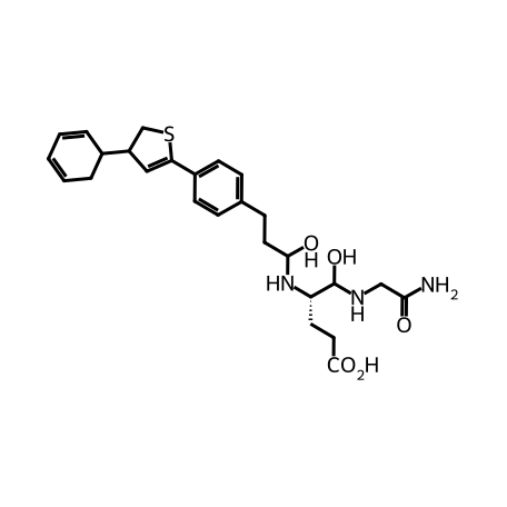 NC(=O)CNC(O)[C@H](CCC(=O)O)NC(O)CCc1ccc(C2=CC(C3C=CC=CC3)CS2)cc1